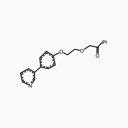 CC(C)C(=O)COCCOc1ccc(-c2cccnc2)cc1